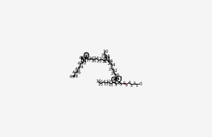 CCCCCCCCC(CCCCCCCC)OC(=O)CCCCCCCN(CCC)CCCCCCCC(=O)N(C)CCCCCCCC